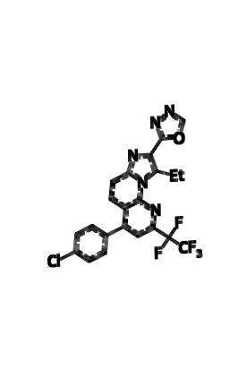 CCc1c(-c2nnco2)nc2ccc3c(-c4ccc(Cl)cc4)cc(C(F)(F)C(F)(F)F)nc3n12